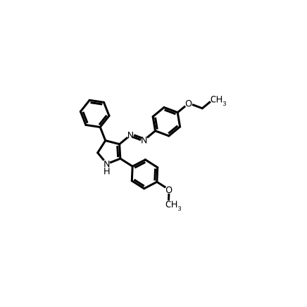 CCOc1ccc(N=NC2=C(c3ccc(OC)cc3)NCC2c2ccccc2)cc1